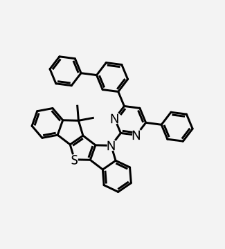 CC1(C)c2ccccc2-c2sc3c4ccccc4n(-c4nc(-c5ccccc5)cc(-c5cccc(-c6ccccc6)c5)n4)c3c21